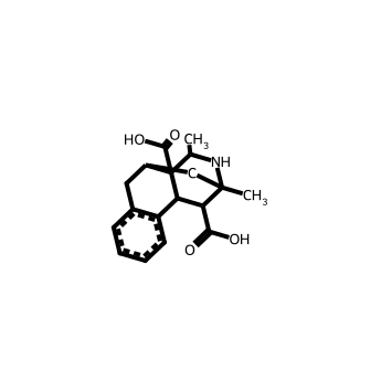 CC1NC2(C)CC3Cc4ccccc4C(C2C(=O)O)C31C(=O)O